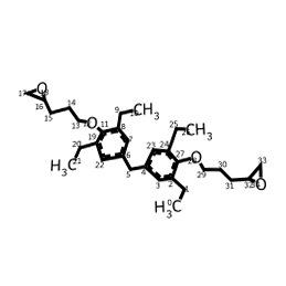 CCc1cc(Cc2cc(CC)c(OCCCC3CO3)c(CC)c2)cc(CC)c1OCCCC1CO1